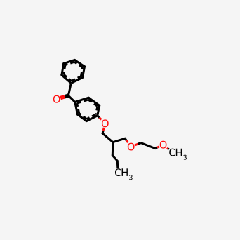 CCCC(COCCOC)COc1ccc(C(=O)c2ccccc2)cc1